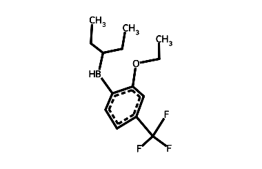 CCOc1cc(C(F)(F)F)ccc1BC(CC)CC